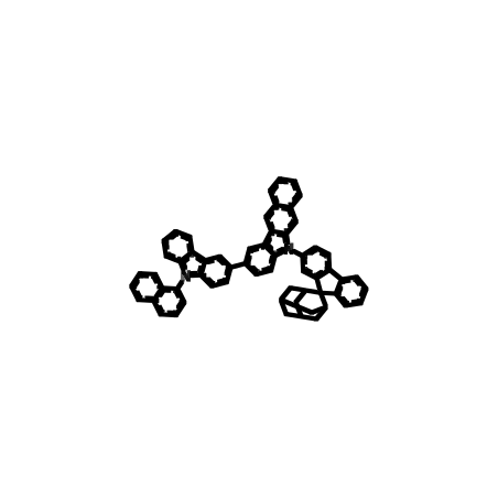 c1ccc2c(c1)-c1ccc(-n3c4ccc(-c5ccc6c(c5)c5ccccc5n6-c5cccc6ccccc56)cc4c4cc5ccccc5cc43)cc1C21C2CC3CC(C2)CC1C3